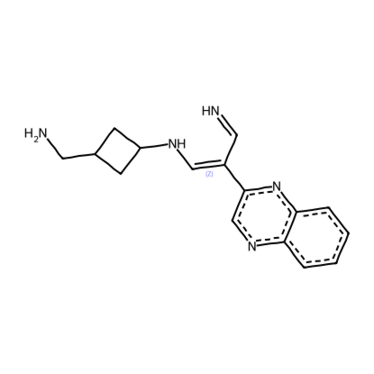 N=C/C(=C\NC1CC(CN)C1)c1cnc2ccccc2n1